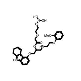 COc1ccccc1OCCNCC(COc1cccc2[nH]c3c(c12)C=CCC3)OC(=O)COCCON(O)O